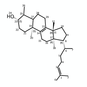 CC(C)=CCCC(C)[C@H]1CC[C@@]2(C)C3=C(CC[C@]12C)[C@@]1(C)CC[C@H](O)C(C)C1CC3